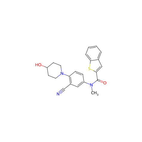 CN(C(=O)c1cc2ccccc2s1)c1ccc(N2CCC(O)CC2)c(C#N)c1